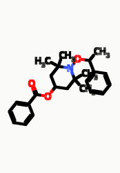 CC(ON1C(C)(C)CC(OC(=O)c2ccccc2)CC1(C)C)c1ccccc1